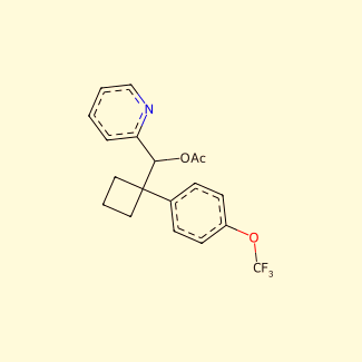 CC(=O)OC(c1ccccn1)C1(c2ccc(OC(F)(F)F)cc2)CCC1